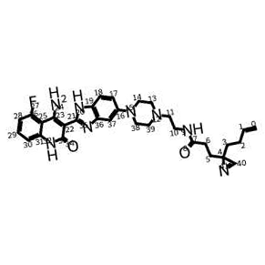 C=CCCC1(CCC(=O)NCCN2CCN(c3ccc4[nH]c(-c5c(N)c6c(F)cccc6[nH]c5=O)nc4c3)CC2)C=N1